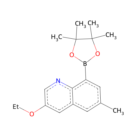 CCOc1cnc2c(B3OC(C)(C)C(C)(C)O3)cc(C)cc2c1